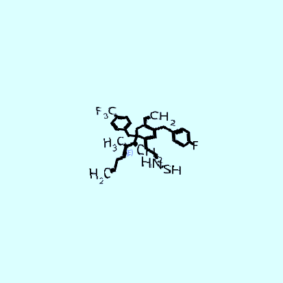 C=CC/C=C(\C)C(=C)C1(Cc2ccc(C(F)(F)F)cc2)CC(C=C)=C(Cc2ccc(F)cc2)C=C1CCNS